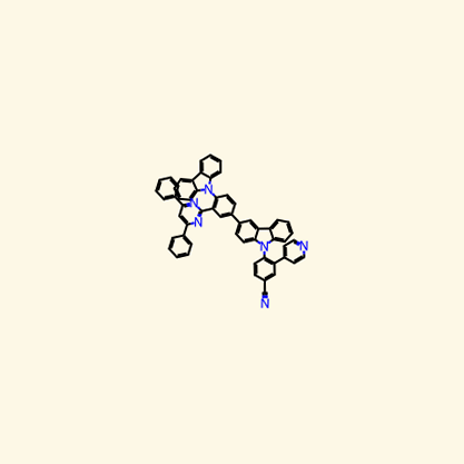 N#Cc1ccc(-n2c3ccccc3c3cc(-c4ccc(-n5c6ccccc6c6ccccc65)c(-c5nc(-c6ccccc6)cc(-c6ccccc6)n5)c4)ccc32)c(-c2ccncc2)c1